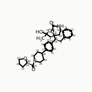 CC(C)(O)C[C@]1([C@@H](Cc2ccccc2)c2ccc(C3CCN(C(=O)[C@H]4CCCO4)CC3)cc2)CCNC(=O)O1